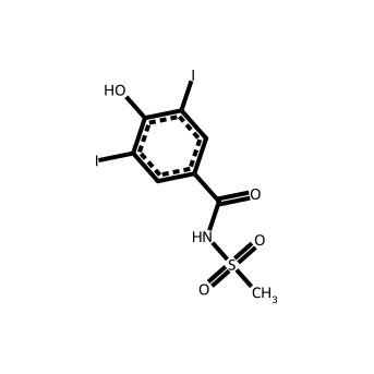 CS(=O)(=O)NC(=O)c1cc(I)c(O)c(I)c1